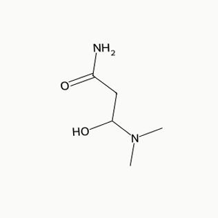 CN(C)C(O)CC(N)=O